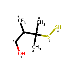 CC(C)(SS)C(CO)C(F)(F)F